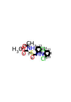 COC(=O)[C@@H](CSC(=O)Cc1ccccc1Nc1c(Cl)cccc1Cl)NC(C)=O